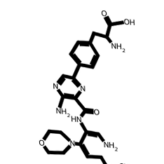 CCC/C=C(\C(=C/N)NC(=O)c1nc(-c2ccc(CC(N)C(=O)O)cc2)cnc1N)N1CCOCC1